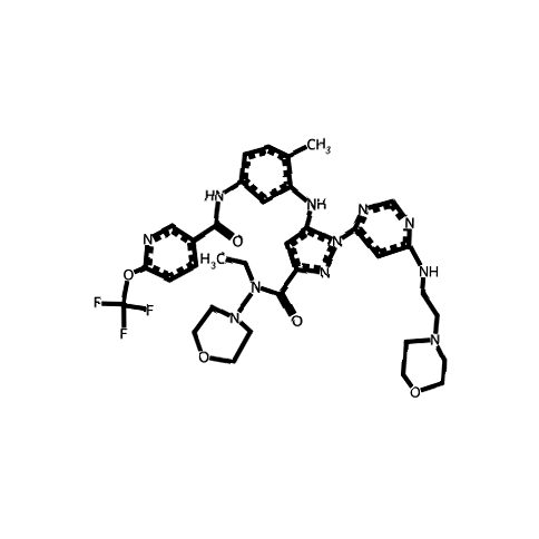 CCN(C(=O)c1cc(Nc2cc(NC(=O)c3ccc(OC(F)(F)F)nc3)ccc2C)n(-c2cc(NCCN3CCOCC3)ncn2)n1)N1CCOCC1